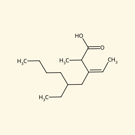 CC=C(CC(CC)CCCC)C(C)C(=O)O